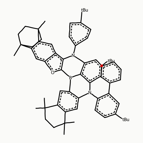 CC(C)(C)c1ccc(N2c3cc(C(C)(C)C)cc4c3B(c3cc5c(cc3N4c3ccc(C(C)(C)C)cc3-c3ccccc3)C(C)(C)CCC5(C)C)c3oc4cc5c(cc4c32)C2(C)CCC5(C)CC2)cc1